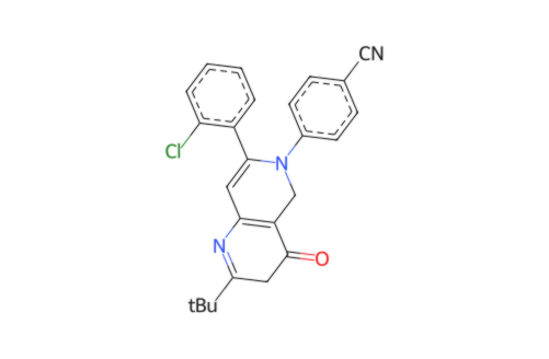 CC(C)(C)C1=NC2=C(CN(c3ccc(C#N)cc3)C(c3ccccc3Cl)=C2)C(=O)C1